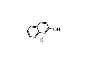 Oc1ccc2ccccc2c1.[K]